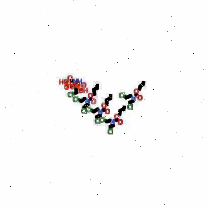 CCCCOC(=O)N(CCCl)CCCl.CCCCOC(=O)N(CCCl)CCCl.CCCCOC(=O)N(CCCl)CCCl.CCCCOC(=O)N(CCCl)CCCl.NC(=O)P(=O)(O)O.O=P(O)(O)CCCl